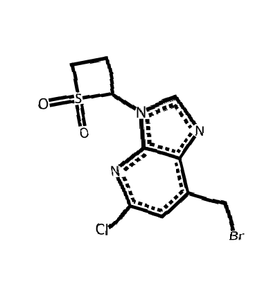 O=S1(=O)CCC1n1cnc2c(CBr)cc(Cl)nc21